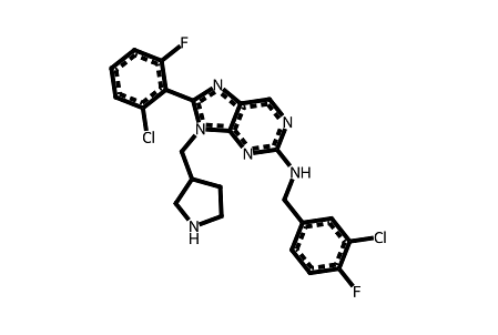 Fc1ccc(CNc2ncc3nc(-c4c(F)cccc4Cl)n(CC4CCNC4)c3n2)cc1Cl